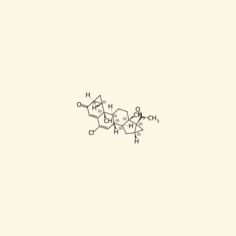 CC(=O)[C@@]12C[C@@H]1C[C@H]1[C@@H]3C=C(Cl)C4=CC(=O)[C@H]5C[C@@H]5[C@]4(C)[C@H]3CC[C@@]12C